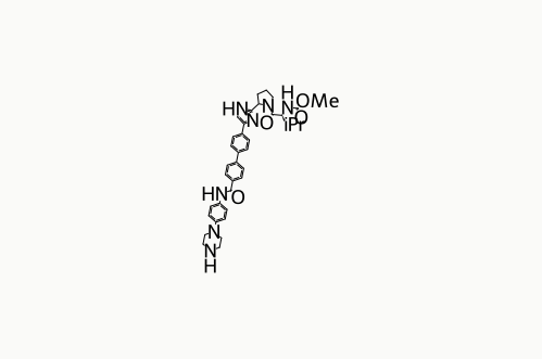 COC(=O)N[C@H](C(=O)N1CCCC1c1nc(-c2ccc(-c3ccc(C(=O)Nc4ccc(N5CCNCC5)cc4)cc3)cc2)c[nH]1)C(C)C